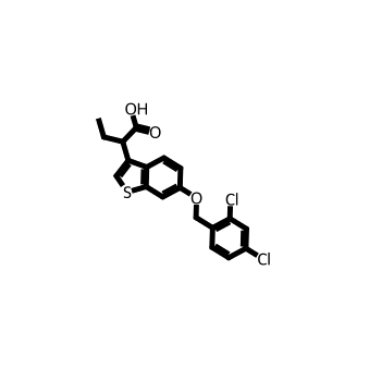 CCC(C(=O)O)c1csc2cc(OCc3ccc(Cl)cc3Cl)ccc12